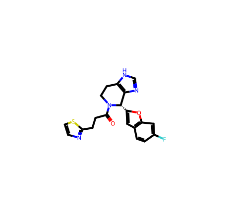 O=C(CCc1nccs1)N1CCc2[nH]cnc2[C@@H]1c1cc2ccc(F)cc2o1